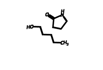 CCCCCO.O=C1CCCN1